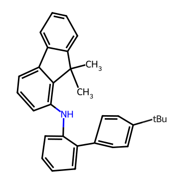 CC(C)(C)c1ccc(-c2ccccc2Nc2cccc3c2C(C)(C)c2ccccc2-3)cc1